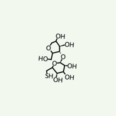 OCC1OCC(O)[C@@H](O)[C@@H]1O[C@@H]1OC(CS)[C@H](O)C(O)[C@@H]1O